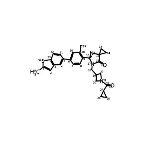 Cc1cc2cc(-c3ccc(C4=NC5(CC5)C(=O)N4CC4CN(C(=O)C5CC5)C4)c(F)c3)ccc2s1